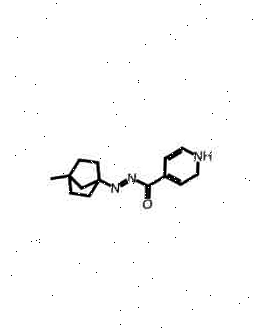 CC12CCC(N=NC(=O)C3=CCNC=C3)(CC1)C2